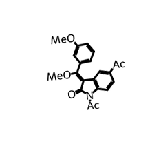 COC(=C1C(=O)N(C(C)=O)c2ccc(C(C)=O)cc21)c1cccc(OC)c1